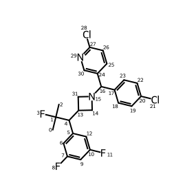 CC(C)(F)C(c1cc(F)cc(F)c1)C1CN(C(c2ccc(Cl)cc2)c2ccc(Cl)nc2)C1